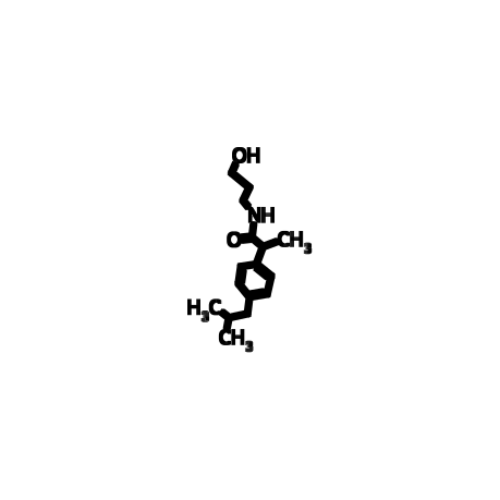 CC(C)Cc1ccc(C(C)C(=O)NCCCO)cc1